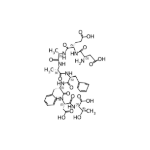 C[C@H](NC(=O)[C@H](C)NC(=O)[C@H](CCC(=O)O)NC(=O)[C@@H](N)CC(=O)O)C(=O)N[C@@H](Cc1ccccc1)C(=O)N[C@@H](Cc1ccccc1)C(=O)N[C@@H](CC(=O)O)C(=O)N[C@H](C(=O)O)[C@@H](C)O